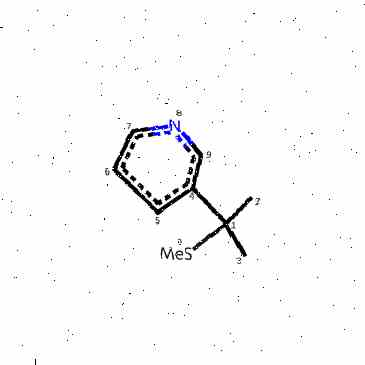 CSC(C)(C)c1cccnc1